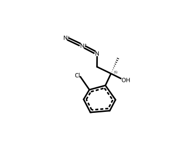 C[C@@](O)(CN=[N+]=[N-])c1ccccc1Cl